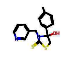 Cc1ccc(C2(O)CSC(=S)N2Cc2cccnc2)cc1